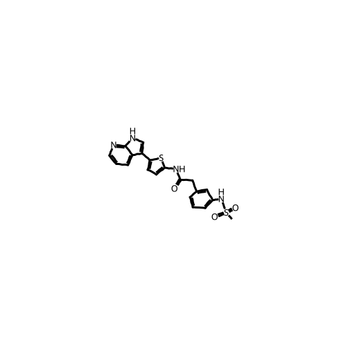 CS(=O)(=O)Nc1cccc(CC(=O)Nc2ccc(-c3c[nH]c4ncccc34)s2)c1